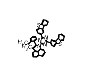 C=Cc1ccccc1C1=C(C)c2cccc3cccc(c23)N1c1nc(-c2ccc3sc4ccccc4c3c2)nc(-c2ccc3sc4ccccc4c3c2)n1